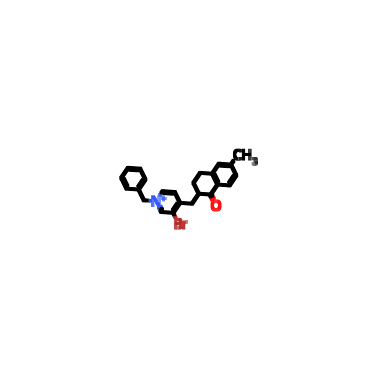 Cc1ccc2c(c1)CCC(Cc1cc[n+](Cc3ccccc3)cc1Br)C2=O